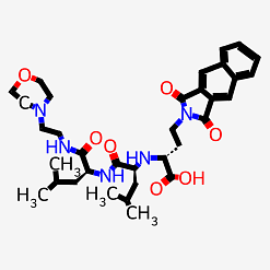 CC(C)C[C@H](NC(=O)[C@H](CC(C)C)N[C@H](CCN1C(=O)c2cc3ccccc3cc2C1=O)C(=O)O)C(=O)NCCN1CCOCC1